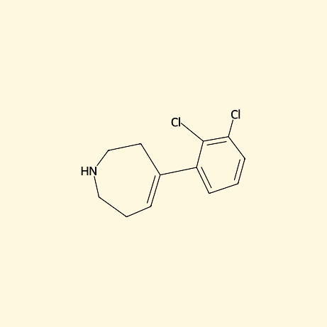 Clc1cccc(C2=CCCNCC2)c1Cl